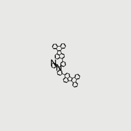 c1cncc(N(c2cccc(-c3ccc4c5c(cccc35)-c3c-4c4ccccc4c4ccccc34)c2)c2cccc(-c3ccc4c5c(cccc35)-c3c-4c4ccccc4c4ccccc34)c2)c1